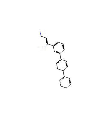 NC/C=C(\N)c1cccc(C2=CCC(C3=CCCC=C3)C=C2)c1